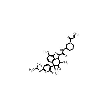 C=CC(=O)N1CCCC(NC(=O)C2Sc3c(N)ccc4c3C2C(N)C(=O)C4(N)c2ccc(OC(C)C)nc2C)C1